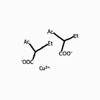 CCC(C(C)=O)C(=O)[O-].CCC(C(C)=O)C(=O)[O-].[Cu+2]